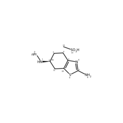 CCCN[C@H]1CCc2nc(N)sc2C1.CS(=O)(=O)O